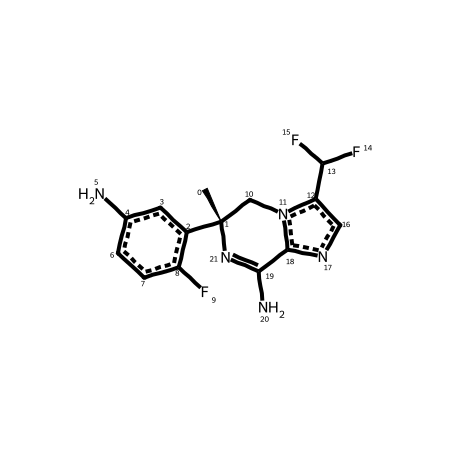 C[C@@]1(c2cc(N)ccc2F)Cn2c(C(F)F)cnc2C(N)=N1